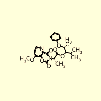 COc1ccnc2c(=O)n([C@@H](C)C(=O)OC(C(C)C)[C@@H](C)Oc3ccccc3)c(=O)oc12